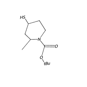 CC1CC(S)CCN1C(=O)OC(C)(C)C